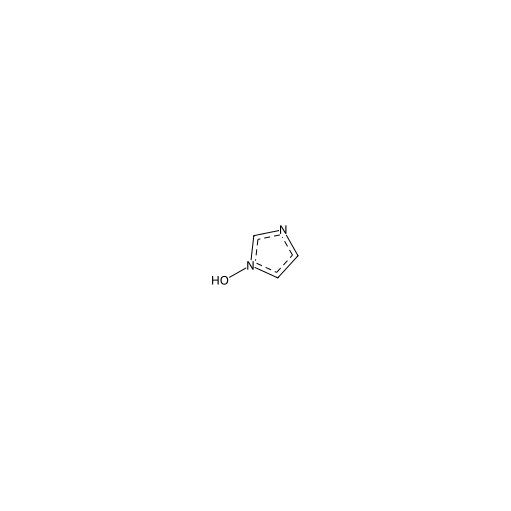 On1ccnc1